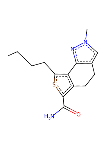 CCCCc1sc(C(N)=O)c2c1-c1nn(C)cc1CC2